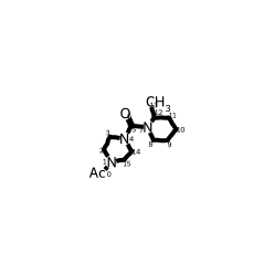 CC(=O)N1CCN(C(=O)N2CCCCC2C)CC1